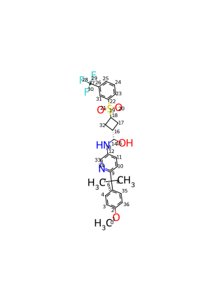 COc1ccc(C(C)(C)c2ccc(NC(O)[C@H]3C[C@H](S(=O)(=O)c4cccc(C(F)(F)F)c4)C3)cn2)cc1